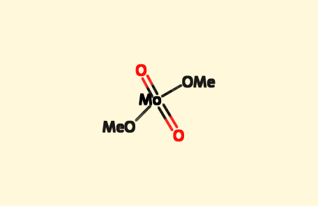 C[O][Mo](=[O])(=[O])[O]C